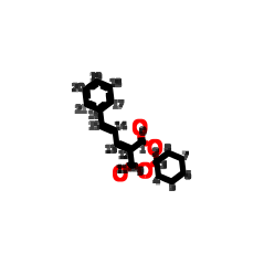 O=C1OC2(CCCCC2)OC(=O)C1=C/C=C/c1ccccc1